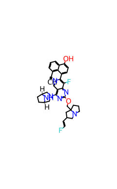 C#Cc1cccc2c(O)ccc(-c3ncc4c(N5C[C@H]6CC[C@@H](C5)N6)nc(OCC56CCCN5CC(/C=C/F)C6)nc4c3F)c12